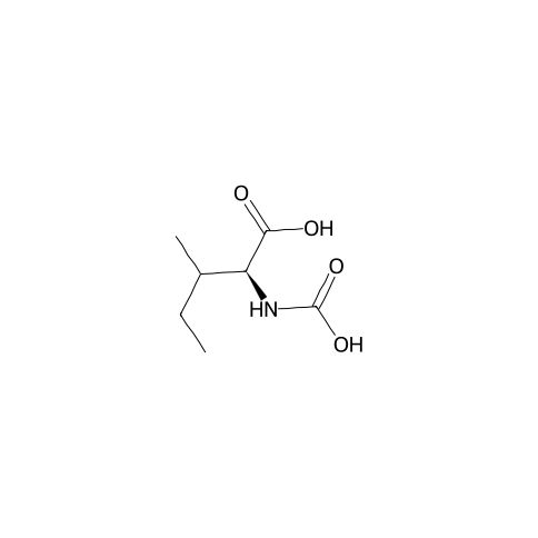 CCC(C)[C@H](NC(=O)O)C(=O)O